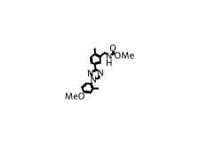 COC(=O)NCc1cc(-c2ncn(-c3ccc(OC)cc3C)n2)ccc1C